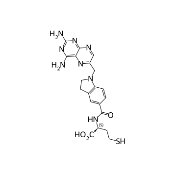 Nc1nc(N)c2nc(CN3CCc4cc(C(=O)N[C@@H](CCS)C(=O)O)ccc43)cnc2n1